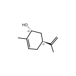 C=C(C)[C@H]1CC=C(C)[C@H](O)C1